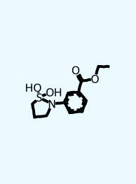 CCOC(=O)c1cccc(N2CCCS2(O)O)c1